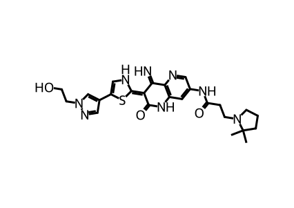 CC1(C)CCCN1CCC(=O)Nc1cnc2c(c1)NC(=O)/C(=C1/NC=C(c3cnn(CCO)c3)S1)C2=N